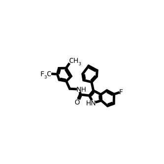 Cc1cc(CNC(=O)c2[nH]c3ccc(F)cc3c2-c2ccccc2)cc(C(F)(F)F)c1